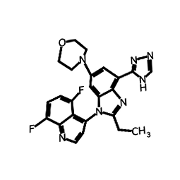 CCc1nc2c(-c3nnc[nH]3)cc(N3CCOCC3)cc2n1-c1ccnc2c(F)ccc(F)c12